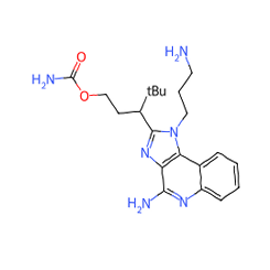 CC(C)(C)C(CCOC(N)=O)c1nc2c(N)nc3ccccc3c2n1CCCN